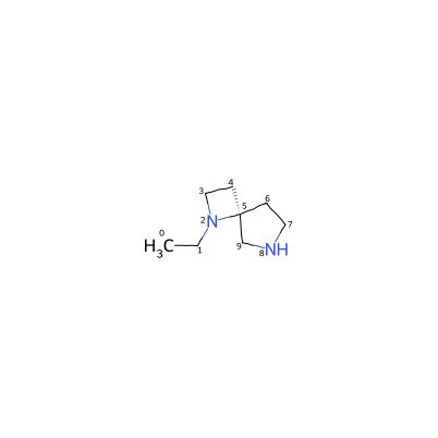 CCN1CC[C@@]12CCNC2